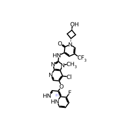 Cn1c(Nc2cc(C(F)(F)F)cn([C@H]3C[C@H](O)C3)c2=O)nc2ncc(O/C(C=N)=C3/NC=CC=C3F)c(Cl)c21